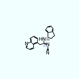 N#C/N=C(\Cc1cccc2ncccc12)N[C@H]1CCc2ccccc21